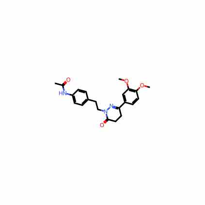 COc1ccc(C2=NN(CCc3ccc(NC(C)=O)cc3)C(=O)CC2)cc1OC